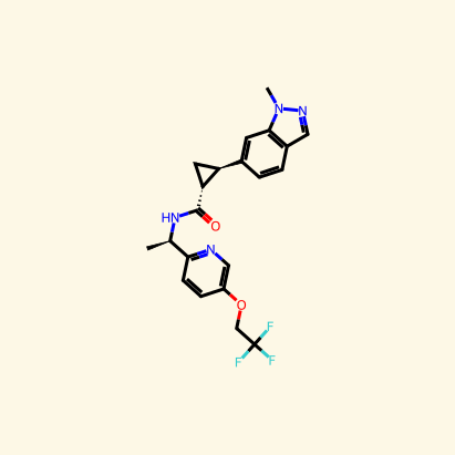 C[C@@H](NC(=O)[C@@H]1C[C@H]1c1ccc2cnn(C)c2c1)c1ccc(OCC(F)(F)F)cn1